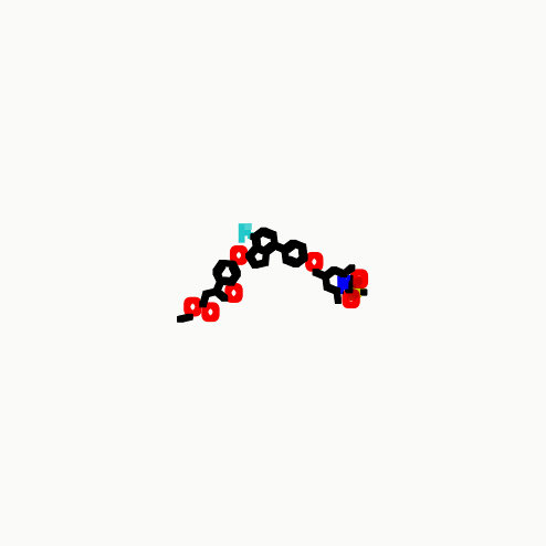 CCOC(=O)CC1COc2cc(O[C@H]3CCc4c(-c5ccc(OCC6CC(C)N(S(C)(=O)=O)[C@H](C)C6)cc5)ccc(F)c43)ccc21